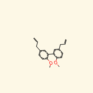 C=CCc1ccc(OC)c(-c2cc(CC=C)ccc2OC)c1